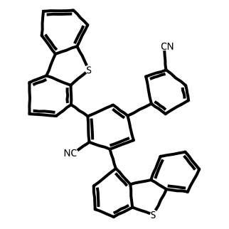 N#Cc1cccc(-c2cc(-c3cccc4c3sc3ccccc34)c(C#N)c(-c3cccc4sc5ccccc5c34)c2)c1